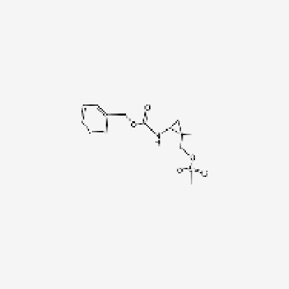 CC1(COS(C)(=O)=O)CC1NC(=O)OCc1ccccc1